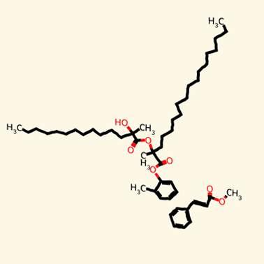 CCCCCCCCCCCCCCCCC(C)(OC(=O)C(C)(O)CCCCCCCCCCCC)C(=O)Oc1ccccc1C.COC(=O)C=Cc1ccccc1